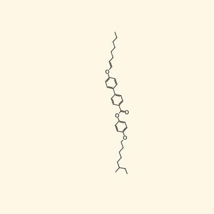 CCCCCCC=COc1ccc(-c2ccc(C(=O)Oc3ccc(OCCCCCC(C)CC)cc3)cc2)cc1